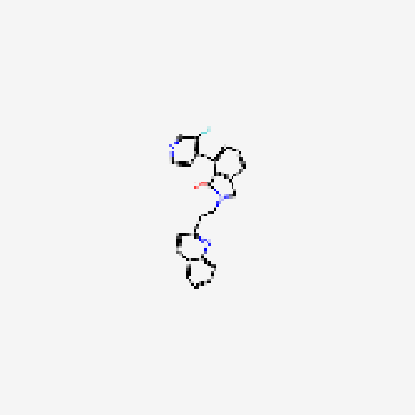 O=C1c2c(cccc2-c2ccncc2F)CN1CCc1ccc2ccccc2n1